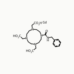 O=C(O)CN1CCN(CC(=O)O)CCN(C(=O)NCc2ccccc2)CCN(CC(=O)O)CC1.[Gd]